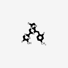 Cc1ccc(Cc2nc(-c3ncc(F)c(O)n3)cn3c(F)cnc23)c(F)c1